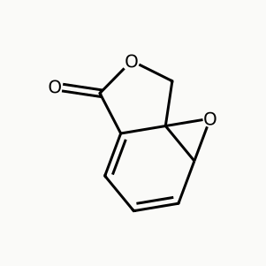 O=C1OCC23OC2C=CC=C13